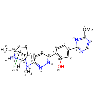 COc1ncnc(-c2ccc(-c3ccc(N(C)[C@@H]4[C@H]5CC[C@](C)(NC5)[C@@H]4F)nn3)c(O)c2)n1